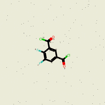 O=C(Cl)c1cc(F)c(F)c(C(=O)Cl)c1